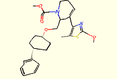 COC(=O)N1CCC=C(c2nc(OC)sc2C)C1CO[C@H]1CC[C@@H](c2ccccc2)CC1